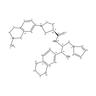 CN1CCc2ccc(N3CC[C@@H](C(=O)NC(Cn4cccc4)C(O)c4ccc5c(c4)OCCO5)C3)cc2C1